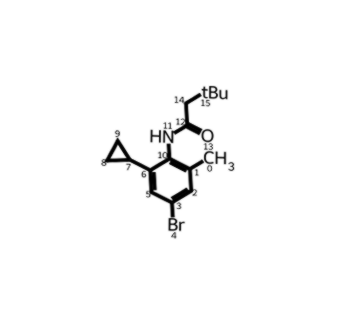 Cc1cc(Br)cc(C2CC2)c1NC(=O)CC(C)(C)C